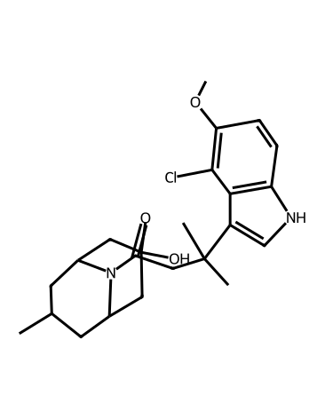 COc1ccc2[nH]cc(C(C)(C)CC(=O)N3C4CC(C)CC3CC(C)(O)C4)c2c1Cl